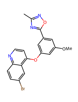 COc1cc(Oc2ccnc3ccc(Br)cc23)cc(-c2nc(C)no2)c1